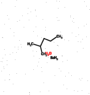 CCCC(C)C.O.[BaH2]